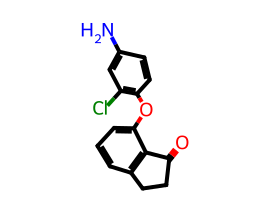 Nc1ccc(Oc2cccc3c2C(=O)CC3)c(Cl)c1